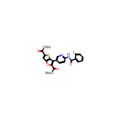 COC(=O)c1cc2oc(C(=O)OC)c(-c3ccc(NC(=O)c4ccccc4F)nc3)c2s1